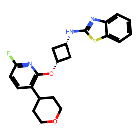 Fc1ccc(C2CCOCC2)c(O[C@H]2C[C@@H](Nc3nc4ccccc4s3)C2)n1